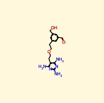 Nc1nc(N)c(CCOCCc2cc(C=O)cc(CO)c2)c(N)n1